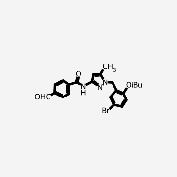 Cc1cc(NC(=O)c2ccc(C=O)cc2)nn1Cc1cc(Br)ccc1OCC(C)C